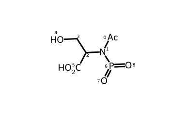 CC(=O)N(C(CO)C(=O)O)P(=O)=O